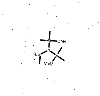 CO[Si](C)(C)N([SiH2]C)[Si](C)(C)OC